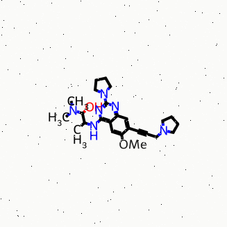 COc1cc2c(NC(C)C(O)N(C)C)nc(N3CCCC3)nc2cc1C#CCN1CCCC1